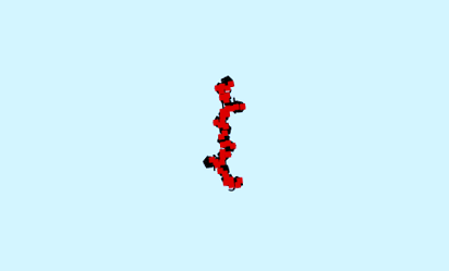 c1ccc(-c2nc(-c3ccc(-c4ccc5sc6ccccc6c5c4)cc3)nc(-c3ccc(-c4cccc5c4sc4ccc(-c6ccc7sc8c(-c9ccc(-c%10nc(-c%11ccccc%11)nc(-c%11ccc(-c%12cccc%13c%12sc%12ccccc%12%13)cc%11)n%10)cc9)cccc8c7c6)cc45)cc3)n2)cc1